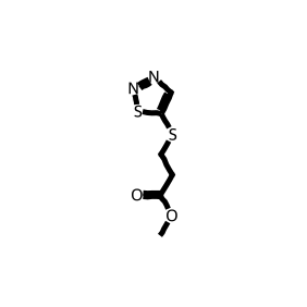 COC(=O)CCSc1cnns1